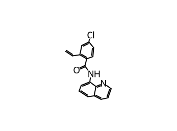 C=Cc1cc(Cl)ccc1C(=O)Nc1cccc2cccnc12